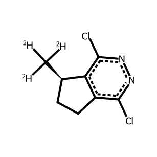 [2H]C([2H])([2H])[C@@H]1CCc2c(Cl)nnc(Cl)c21